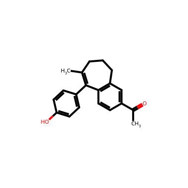 CC(=O)c1ccc2c(c1)CCCC(C)=C2c1ccc(O)cc1